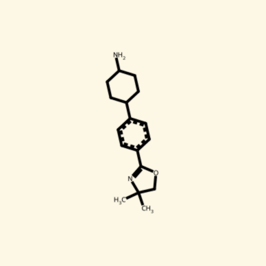 CC1(C)COC(c2ccc(C3CCC(N)CC3)cc2)=N1